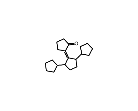 O=C1CCCC1=C1C(C2CCCC2)CCC1C1CCCC1